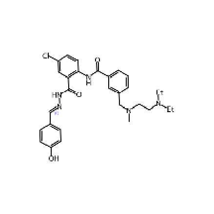 CCN(CC)CCN(C)Cc1cccc(C(=O)Nc2ccc(Cl)cc2C(=O)N/N=C/c2ccc(O)cc2)c1